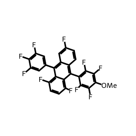 COc1c(F)c(F)c(-c2c3ccc(F)cc3c(-c3cc(F)c(F)c(F)c3)c3c(F)ccc(F)c23)c(F)c1F